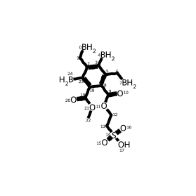 BCc1c(B)c(CB)c(C(=O)OCCS(=O)(=O)O)c(C(=O)OC)c1B